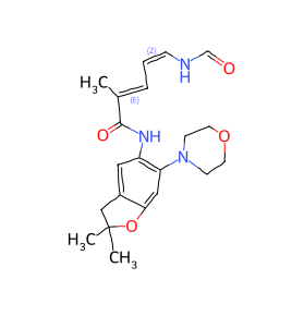 C/C(=C\C=C/NC=O)C(=O)Nc1cc2c(cc1N1CCOCC1)OC(C)(C)C2